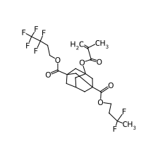 C=C(C)C(=O)OC12CC3CC(C(=O)OCCC(C)(F)F)(C1)CC(C(=O)OCCC(F)(F)C(F)(F)F)(C3)C2